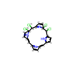 ClC1c2ccc([nH]2)C=C2C=CC(=N2)C=C2C=CC(Cl)(N2)C(Cl)C2=NC1(Cl)C=C2